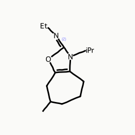 CC/N=c1\oc2c(n1C(C)C)CCCC(C)C2